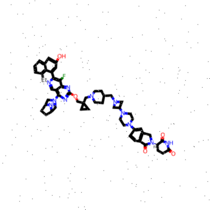 CCc1cccc2cc(O)cc(-c3ncc4c(N5CC6CCC(C5)N6)nc(OCC5(CN6CCC(CN7CC(N8CCN(c9ccc%10c(c9)CN([C@H]9CCC(=O)NC9=O)C%10=O)CC8)C7)CC6)CC5)nc4c3F)c12